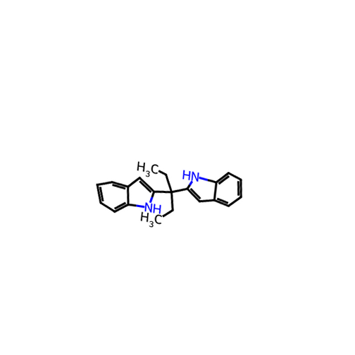 CCC(CC)(c1cc2ccccc2[nH]1)c1cc2ccccc2[nH]1